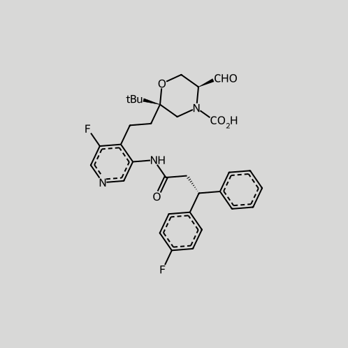 CC(C)(C)[C@]1(CCc2c(F)cncc2NC(=O)C[C@H](c2ccccc2)c2ccc(F)cc2)CN(C(=O)O)[C@H](C=O)CO1